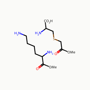 COC(=O)C(N)CCCCN.COC(=O)CSCC(N)C(=O)O